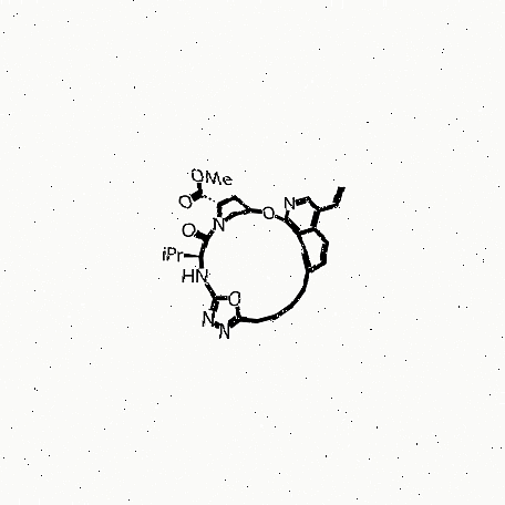 C=Cc1cnc2c3cc(ccc13)CCCCc1nnc(o1)N[C@@H](C(C)C)C(=O)N1CC(C[C@H]1C(=O)OC)O2